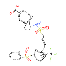 O=C(O)c1ccc2c(c1)CCC2NS(=O)(=O)CC=Cc1cc(S(=O)(=O)c2ccccc2)ccc1C(F)(F)F